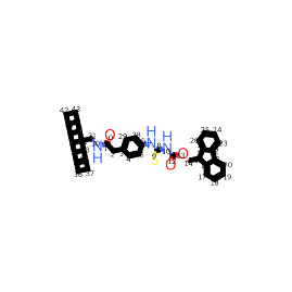 O=C(Cc1ccc(NC(=S)NC(=O)OCC2c3ccccc3-c3ccccc32)cc1)NCC12C3C4=C(CC4)C3C1C1C3CCC3C12